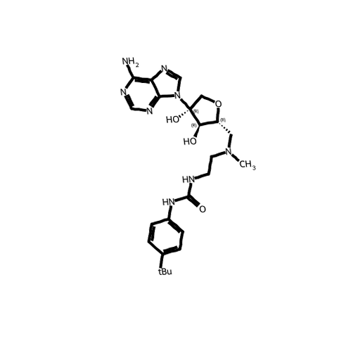 CN(CCNC(=O)Nc1ccc(C(C)(C)C)cc1)C[C@H]1OC[C@](O)(n2cnc3c(N)ncnc32)[C@@H]1O